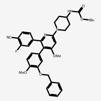 COc1ccc(-c2c(OC)cc(N3CCC(NC(=O)OC(C)(C)C)CC3)nc2-c2ccc(C#N)c(F)c2)cc1OCc1ccccc1